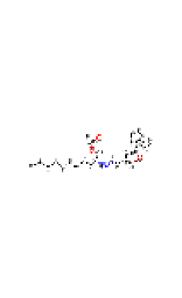 CCCCCCCCCC(COC(C)=O)NCCc1coc([Si](CC)(CC)CC)c1